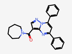 O=C(c1cnn2c(-c3ccccc3)cc(-c3ccccc3)nc12)N1CCCCCC1